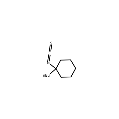 CCCCC1(N=C=S)CCCCC1